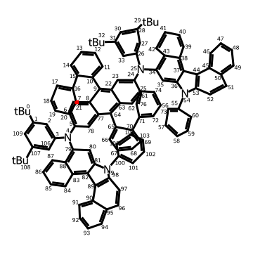 CC(C)(C)c1cc(N(c2ccc3c(-c4ccccc4-c4ccccc4)c4cc(N(c5cc(C(C)(C)C)cc(C(C)(C)C)c5)c5cc6c(c7ccccc57)c5c7ccccc7ccc5n6-c5ccccc5)ccc4c(-c4ccccc4-c4ccccc4)c3c2)c2cc3c(c4ccccc24)c2c4ccccc4ccc2n3-c2ccccc2)cc(C(C)(C)C)c1